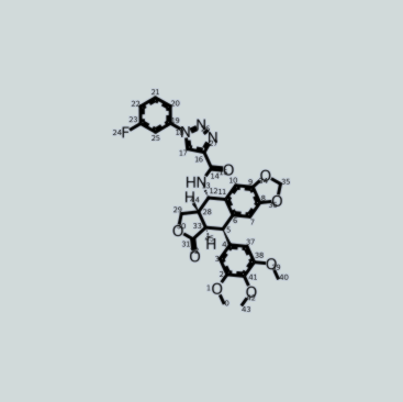 COc1cc([C@@H]2c3cc4c(cc3[C@@H](NC(=O)c3cn(-c5cccc(F)c5)nn3)[C@H]3COC(=O)[C@H]23)OCO4)cc(OC)c1OC